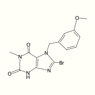 COc1cccc(Cn2c(Br)nc3[nH]c(=O)n(C)c(=O)c32)c1